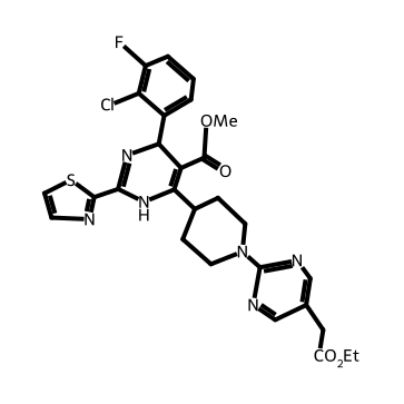 CCOC(=O)Cc1cnc(N2CCC(C3=C(C(=O)OC)C(c4cccc(F)c4Cl)N=C(c4nccs4)N3)CC2)nc1